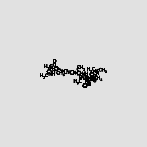 C=C1CCC(N(C)c2cc(C)c(CCN3CCN(C4CCN(c5cc(OCC)c(Nc6ncc(-n7nnc8ccccc87)c(Nc7ccc8c(c7P(C)(C)=O)C=NN(CC)C8=C)n6)cc5CC)CC4)CC3)cc2OC=O)C(=O)N1